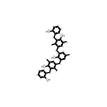 Cc1cc(Cc2cc(C)c(O)c(Cc3ccccc3O)c2C)c(O)c(Cc2cc(C)c(O)c(Cc3ccccc3O)c2C)c1